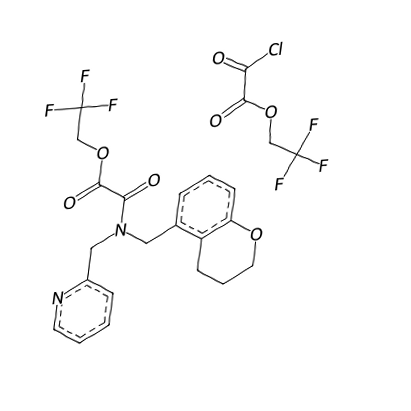 O=C(Cl)C(=O)OCC(F)(F)F.O=C(OCC(F)(F)F)C(=O)N(Cc1ccccn1)Cc1cccc2c1CCCO2